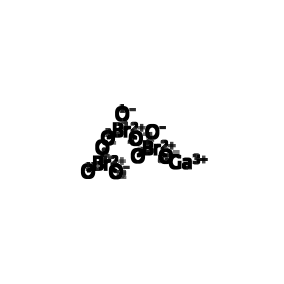 [Ga+3].[O-][Br+2]([O-])[O-].[O-][Br+2]([O-])[O-].[O-][Br+2]([O-])[O-]